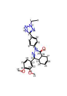 CCn1nnc(-c2ccc(N3N=C(c4ccc(OC)c(OC)c4)C4CC=CCC4C3=O)cc2)n1